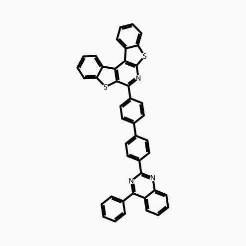 c1ccc(-c2nc(-c3ccc(-c4ccc(-c5nc6sc7ccccc7c6c6c5sc5ccccc56)cc4)cc3)nc3ccccc23)cc1